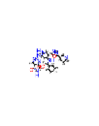 O=C1NCc2nc(Nc3cc(N[C@H](CO)c4ccccc4)c(-c4nnc(-c5cccnc5)o4)cn3)ncc21